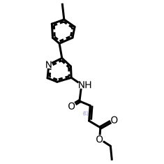 CCOC(=O)/C=C/C(=O)Nc1ccnc(-c2ccc(C)cc2)c1